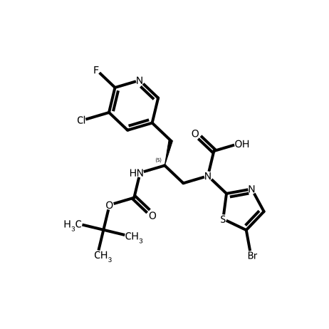 CC(C)(C)OC(=O)N[C@@H](Cc1cnc(F)c(Cl)c1)CN(C(=O)O)c1ncc(Br)s1